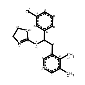 Cc1cncc(CC(NC2=NCCO2)c2cccc(Cl)c2)c1C